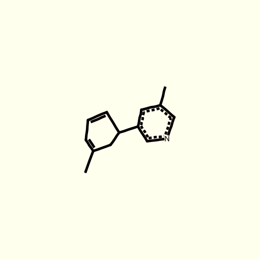 CC1=CC=CC(c2cncc(C)c2)C1